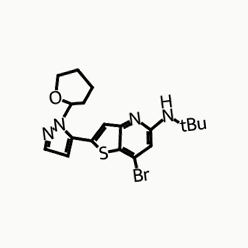 CC(C)(C)Nc1cc(Br)c2sc(-c3ccnn3C3CCCCO3)cc2n1